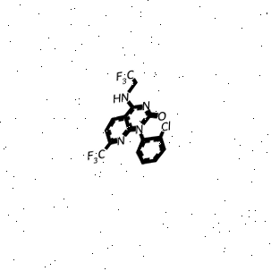 O=c1nc(NCC(F)(F)F)c2ccc(C(F)(F)F)nc2n1-c1ccccc1Cl